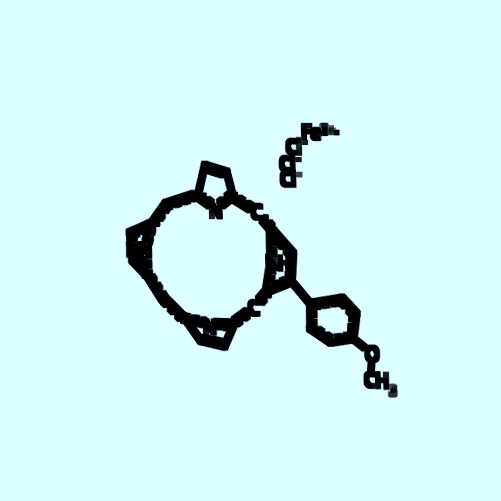 COc1ccc(-c2cc3cc4nc(cc5ccc(cc6nc(cc2[nH]3)C=C6)[nH]5)C=C4)cc1.[Cl-].[Cl-].[Cl-].[Fe+3]